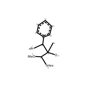 CCCCCCC(OC)C(C)([O])C(CCC)c1ccccc1